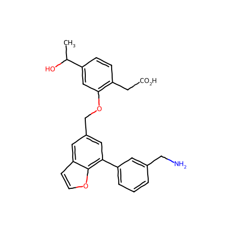 CC(O)c1ccc(CC(=O)O)c(OCc2cc(-c3cccc(CN)c3)c3occc3c2)c1